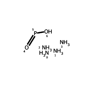 N.N.N.N.O=PO